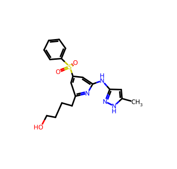 Cc1cc(Nc2cc(S(=O)(=O)c3ccccc3)cc(CCCCO)n2)n[nH]1